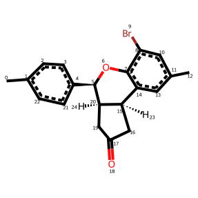 Cc1ccc([C@H]2Oc3c(Br)cc(C)cc3[C@H]3CC(=O)C[C@H]32)cc1